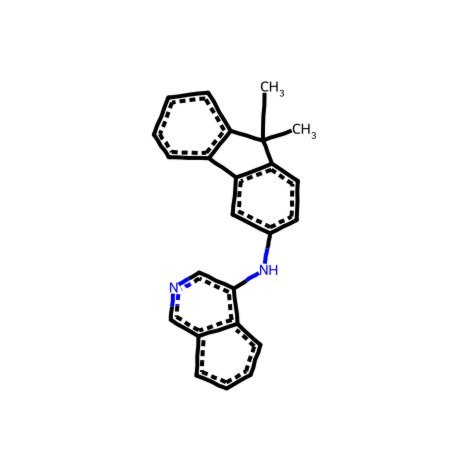 CC1(C)c2ccccc2-c2cc(Nc3cncc4ccccc34)ccc21